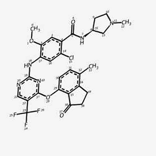 COc1cc(C(=O)N[C@H]2CCN(C)C2)c(Cl)cc1Nc1ncc(C(F)(F)F)c(Oc2ccc(C)c3c2C(=O)CC3)n1